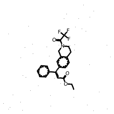 CCOC(=O)/C=C(/c1ccccc1)c1ccc2c(c1)CN(C(=O)C(F)(F)F)CC2